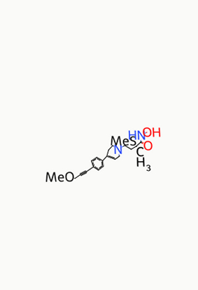 COCC#Cc1ccc(C2=CCN(CCC(C)(SC)C(=O)NO)CC2)cc1